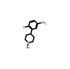 CC(=O)N1CCC(c2cc(C)ccc2F)CC1